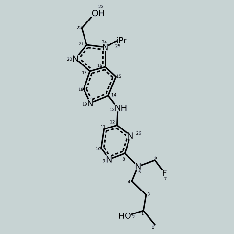 CC(O)CCN(CF)c1nccc(Nc2cc3c(cn2)nc(CO)n3C(C)C)n1